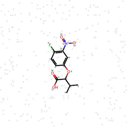 CC(C)C(Oc1ccc(F)c([N+](=O)[O-])c1)C(=O)O